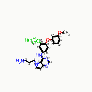 Cl.Cl.NCCCn1ccc2ncnc(Nc3ccc(Oc4cccc(OC(F)(F)F)c4)c(Cl)c3)c21